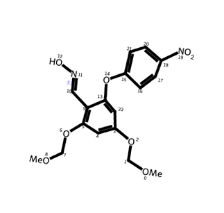 COCOc1cc(OCOC)c(/C=N/O)c(Oc2ccc([N+](=O)[O-])cc2)c1